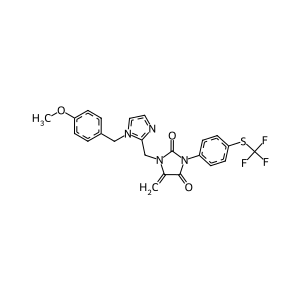 C=C1C(=O)N(c2ccc(SC(F)(F)F)cc2)C(=O)N1Cc1nccn1Cc1ccc(OC)cc1